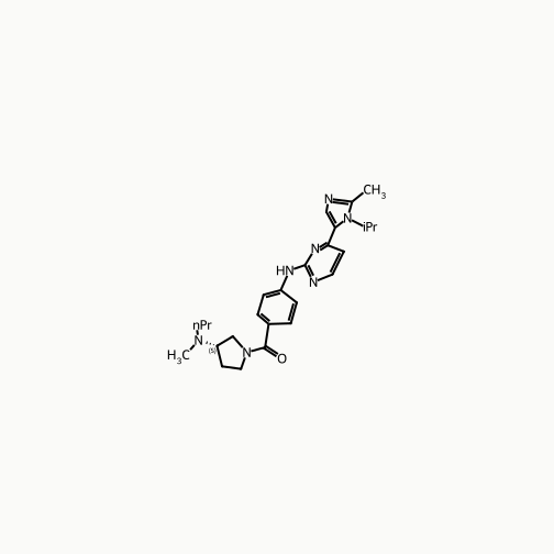 CCCN(C)[C@H]1CCN(C(=O)c2ccc(Nc3nccc(-c4cnc(C)n4C(C)C)n3)cc2)C1